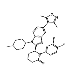 Cc1noc(C)c1-c1ccc2c(c1)nc([C@@H]1CCCC(=O)N1c1ccc(F)c(F)c1)n2C1CCC(C)CC1